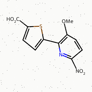 COc1ccc([N+](=O)[O-])nc1-c1ccc(C(=O)O)s1